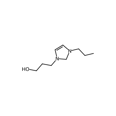 CCCN1C=CN(CCCO)C1